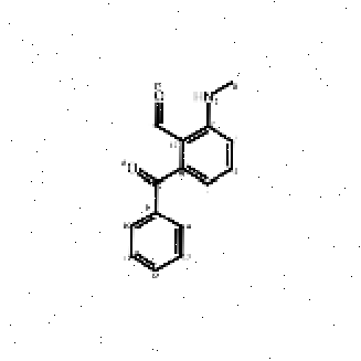 CNc1cccc(C(=O)c2ccccc2)c1C=O